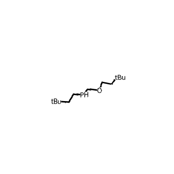 CC(C)(C)CCOCPCCC(C)(C)C